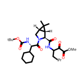 COC(=O)C(=O)C(CC(C)C)NC(=O)[C@@H]1[C@@H]2[C@H](CN1C(=O)[C@@H](NC(=O)OC(C)(C)C)C1CCCCC1)C2(C)C